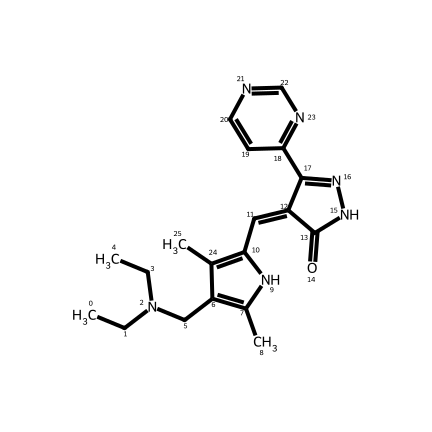 CCN(CC)Cc1c(C)[nH]c(C=C2C(=O)NN=C2c2ccncn2)c1C